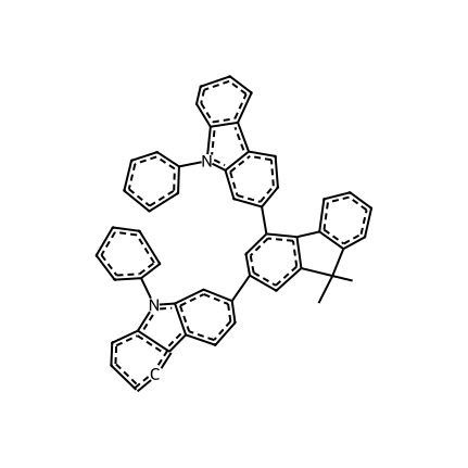 CC1(C)c2ccccc2-c2c(-c3ccc4c5ccccc5n(-c5ccccc5)c4c3)cc(-c3ccc4c5ccccc5n(-c5ccccc5)c4c3)cc21